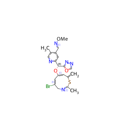 C=C1/C=C(O[C@H](c2cc(/C=N/OC)c(C)cn2)c2nnco2)\C=C(\Br)C/N=C(/C)S1